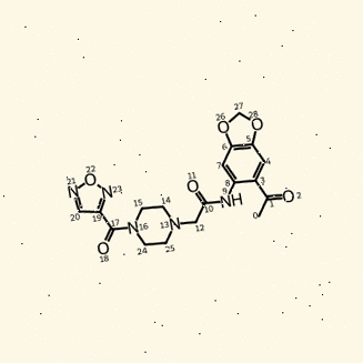 CC(=O)c1cc2c(cc1NC(=O)CN1CCN(C(=O)c3cnon3)CC1)OCO2